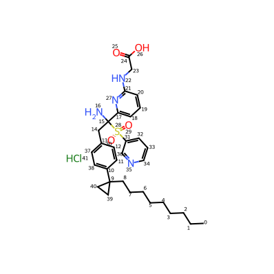 CCCCCCCCCC1(c2ccc(CC(N)(c3cccc(NCC(=O)O)n3)S(=O)(=O)c3cccnc3)cc2)CC1.Cl